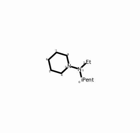 [CH2]CCC(C)N(CC)N1CCCCC1